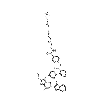 CCCc1nc2c(C)cc(-c3nc4ccccc4n3C)cc2n1Cc1ccc(-c2ccccc2C(=O)Oc2ccc(C(=O)NCCOCCOCCOCCC(C)(C)C)cc2)cc1